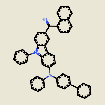 N=C(c1ccc2c(c1)c1ccc(N(c3ccccc3)c3ccc(-c4ccccc4)cc3)cc1n2-c1ccccc1)c1cccc2ccccc12